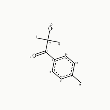 Cc1ccc(C(=O)C(C)(C)[O])cc1